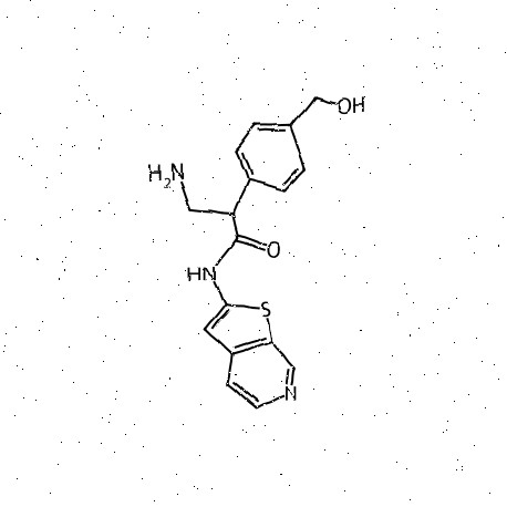 NCC(C(=O)Nc1cc2ccncc2s1)c1ccc(CO)cc1